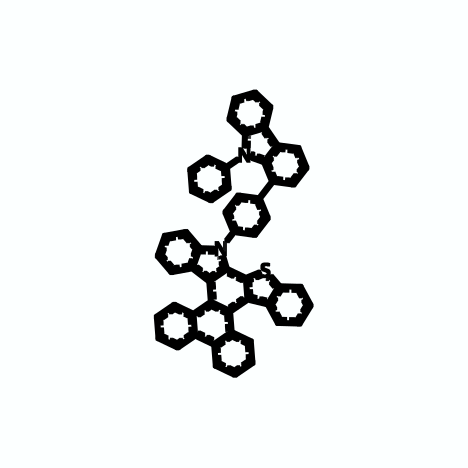 c1ccc(-n2c3ccccc3c3cccc(-c4ccc(-n5c6ccccc6c6c7c8ccccc8c8ccccc8c7c7c8ccccc8sc7c65)cc4)c32)cc1